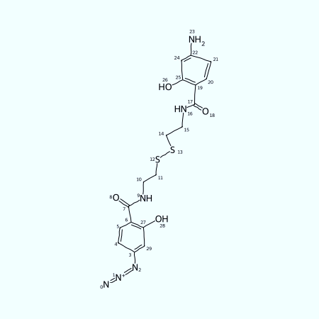 [N-]=[N+]=Nc1ccc(C(=O)NCCSSCCNC(=O)c2ccc(N)cc2O)c(O)c1